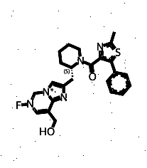 Cc1nc(C(=O)N2CCCC[C@H]2CC2=C[N+]3CN(F)C=C(CO)C3=N2)c(-c2ccccc2)s1